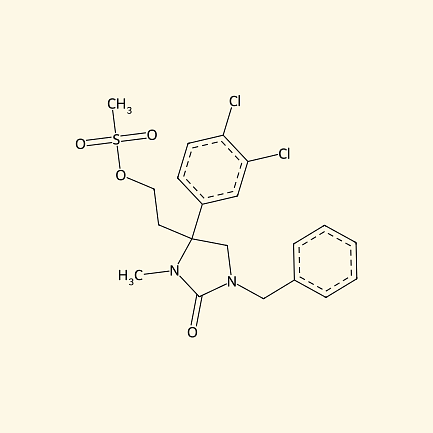 CN1C(=O)N(Cc2ccccc2)CC1(CCOS(C)(=O)=O)c1ccc(Cl)c(Cl)c1